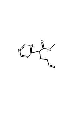 C=CCCC(C(=O)OC)c1ccncn1